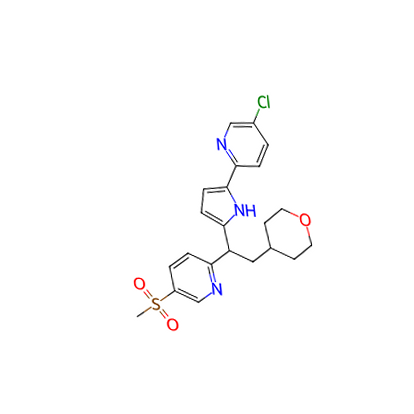 CS(=O)(=O)c1ccc(C(CC2CCOCC2)c2ccc(-c3ccc(Cl)cn3)[nH]2)nc1